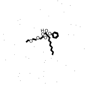 CCCCCCCCC(OCCOCCOCC)(Oc1ccccc1)C(=O)O